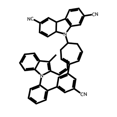 C/C=C\c1c(C)c2ccccc2n1-c1ccccc1-c1cc(C#N)cc(C2=CCC(N3c4cc(C#N)ccc4C4C=C(C#N)C=CC43)CC=C2)c1